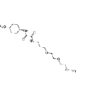 CCCOCCOCCOCCCNC(=O)C(=O)NC1CCC(OC)CC1